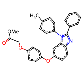 COC(=O)COc1ccc(Oc2ccc3nc(-c4ccccc4)n(-c4ccc(C)cc4)c3c2)cc1